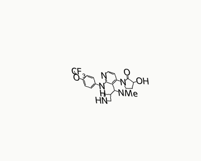 CNC(c1c(N2CCC(O)C2=O)ccnc1Nc1ccc(OC(F)(F)F)cc1)C1CNC1